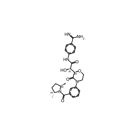 C[C@@H]1CC[C@@H](C)N1C(=O)c1cccc(N2CCO[C@H]([C@@H](O)C(=O)Nc3ccc(C(=N)N)cc3)C2=O)c1